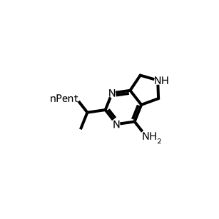 CCCCCC(C)c1nc(N)c2c(n1)CNC2